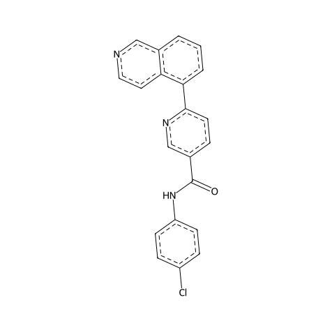 O=C(Nc1ccc(Cl)cc1)c1ccc(-c2cccc3cnccc23)nc1